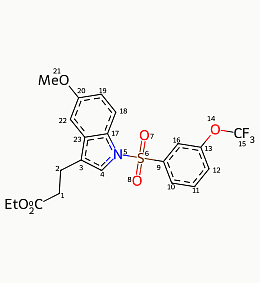 CCOC(=O)CCc1cn(S(=O)(=O)c2cccc(OC(F)(F)F)c2)c2ccc(OC)cc12